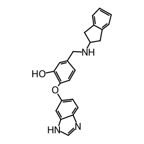 Oc1cc(CNC2Cc3ccccc3C2)ccc1Oc1ccc2nc[nH]c2c1